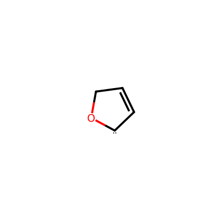 [C]1C=CCO1